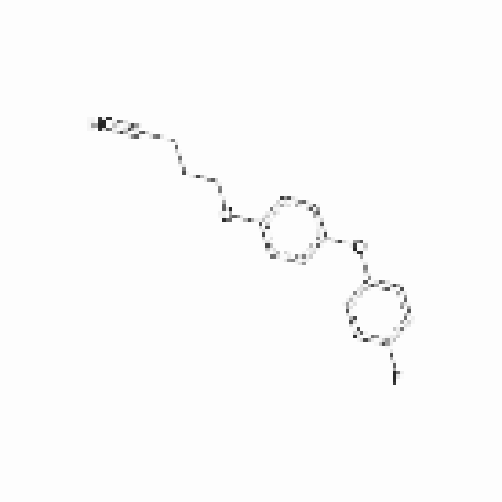 C#CCCCOc1ccc(Oc2ccc(F)cc2)cc1